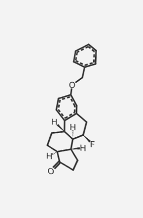 O=C1CC[C@H]2[C@@H]3[C@H](F)Cc4cc(OCc5ccccc5)ccc4[C@H]3CC[C@H]12